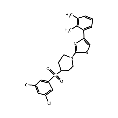 Cc1cccc(-c2csc(N3CCC(S(=O)(=O)c4cc(Cl)cc(Cl)c4)CC3)n2)c1C